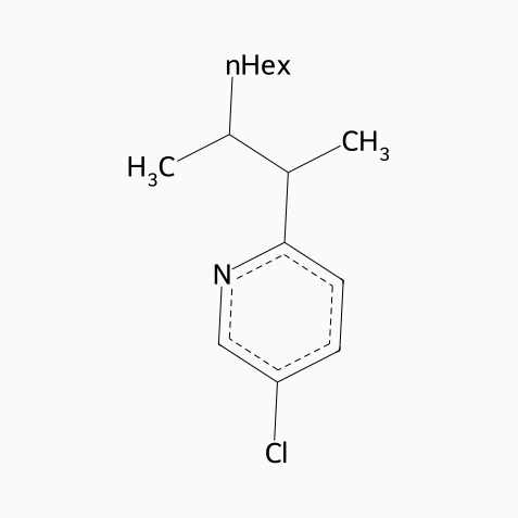 CCCCCCC(C)C(C)c1ccc(Cl)cn1